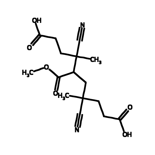 COC(=O)C(CC(C)(C#N)CCC(=O)O)C(C)(C#N)CCC(=O)O